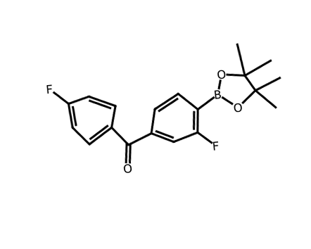 CC1(C)OB(c2ccc(C(=O)c3ccc(F)cc3)cc2F)OC1(C)C